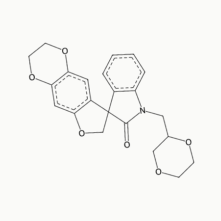 O=C1N(CC2COCCO2)c2ccccc2C12COc1cc3c(cc12)OCCO3